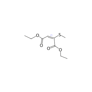 CCOC(=O)/C=C(/SC)C(=O)OCC